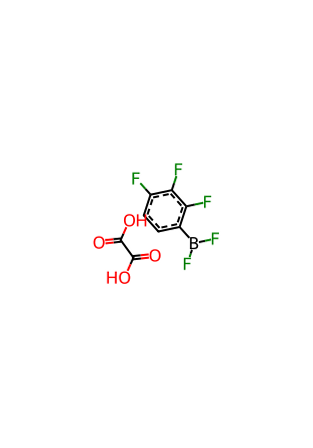 FB(F)c1ccc(F)c(F)c1F.O=C(O)C(=O)O